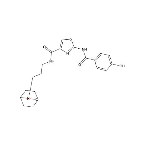 O=C(Nc1nc(C(=O)NCCCN2CC3CCC(CC3)C2)cs1)c1ccc(O)cc1